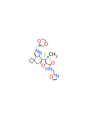 CC(F)(F)c1c(C(=O)NCc2ncco2)oc2c1-c1nn(C[C@H]3COCCO3)cc1C1(CCC1)C2